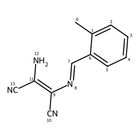 Cc1ccccc1C=NC(C#N)=C(N)C#N